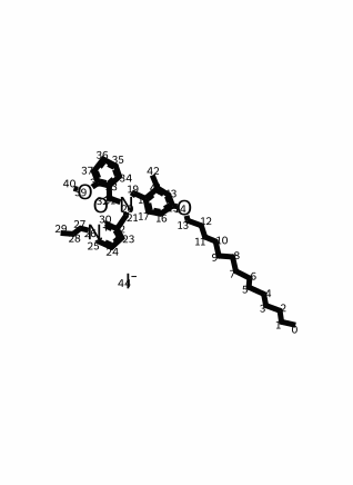 CCCCCCCCCCCCCCOc1ccc(CN(Cc2ccc[n+](CCC)c2)C(=O)c2ccccc2OC)c(C)c1.[I-]